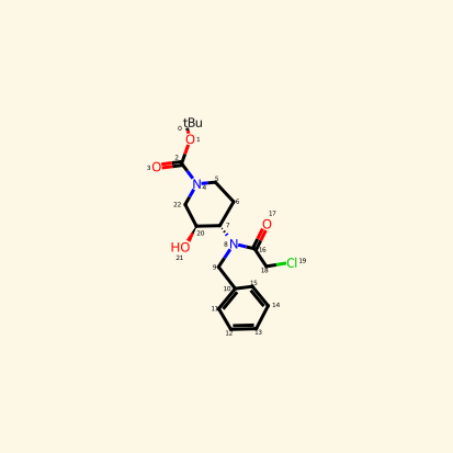 CC(C)(C)OC(=O)N1CC[C@H](N(Cc2ccccc2)C(=O)CCl)[C@@H](O)C1